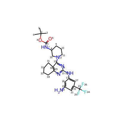 CC(C)(C)OC(=O)NC1CCCN(c2nc(Nc3cc(N)cc(C(F)(F)F)c3)nc3c2CCCC3)C1